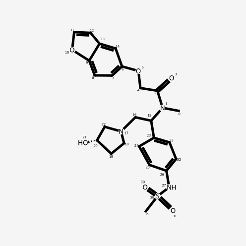 CN(C(=O)COc1ccc2occc2c1)C(CN1CC[C@H](O)C1)c1ccc(NS(C)(=O)=O)cc1